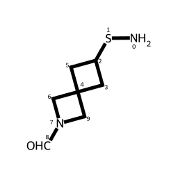 NSC1CC2(C1)CN(C=O)C2